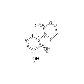 Oc1cccc(-c2ccccc2Cl)c1O